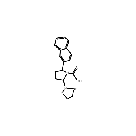 O=C(O)N1C(c2ccc3ccccc3c2)CCC1N1NCCS1